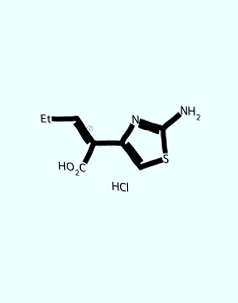 CC/C=C(\C(=O)O)c1csc(N)n1.Cl